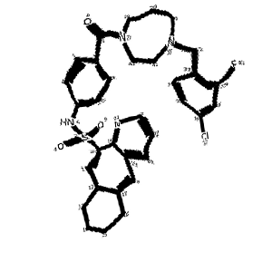 O=C(c1ccc(NS(=O)(=O)C2=CC3CCCCC3=Cc3cccnc32)cc1)N1CCCN(Cc2ccc(Cl)cc2F)CC1